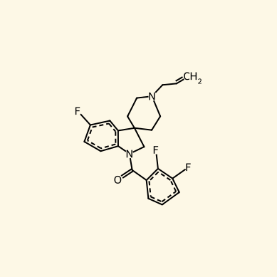 C=CCN1CCC2(CC1)CN(C(=O)c1cccc(F)c1F)c1ccc(F)cc12